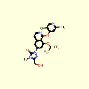 CCn1c(CO)nn(-c2cc(O[C@@H](C)C(F)(F)F)c3c(Oc4cc(C)ncc4Cl)nccc3c2)c1=O